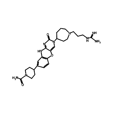 N=C(N)NCCCN1CCCC(n2cc3c(nc2=O)Nc2cc(C4CCN(C(N)=O)CC4)ccc2O3)CC1